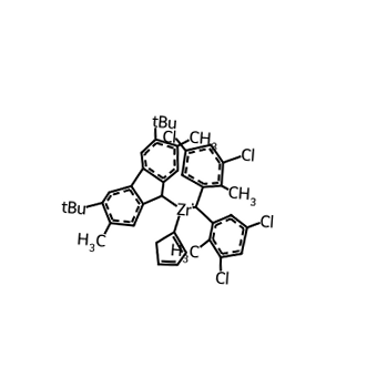 Cc1cc2c(cc1C(C)(C)C)-c1cc(C(C)(C)C)c(C)cc1[CH]2[Zr]([C]1=CC=CC1)=[C](c1cc(Cl)cc(Cl)c1C)c1cc(Cl)cc(Cl)c1C